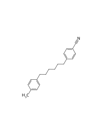 Cc1ccc(CCCCCCc2ccc(C#N)cc2)cc1